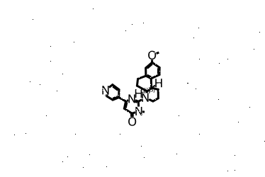 COc1ccc2c(c1)CC[C@H]1[C@H]2CCCN1c1nc(-c2ccncc2)cc(=O)n1C